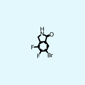 O=C1NCc2c1cc(Br)c(F)c2F